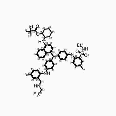 CCNS(=O)(=O)c1cc(C)ccc1Nc1ccc(C(c2ccc(Nc3ccc(C)cc3CNCC(F)(F)F)cc2)c2ccc(NC3CCCCC3OC(=O)C(C)(C)CC)c3ccccc23)cc1